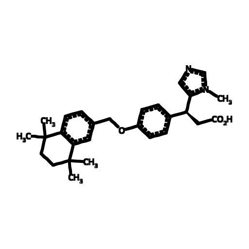 Cn1cncc1[C@@H](CC(=O)O)c1ccc(OCc2ccc3c(c2)C(C)(C)CCC3(C)C)cc1